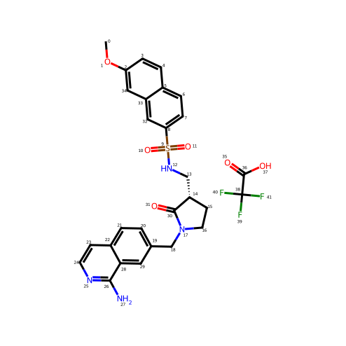 COc1ccc2ccc(S(=O)(=O)NC[C@@H]3CCN(Cc4ccc5ccnc(N)c5c4)C3=O)cc2c1.O=C(O)C(F)(F)F